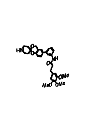 COc1cc(CCC(=O)Nc2cccc(-c3ccc4c(c3)COC3(CCNCC3)O4)c2)cc(OC)c1OC